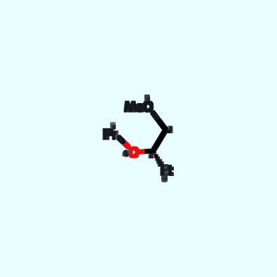 CC[C@@H](COC)OC(C)C